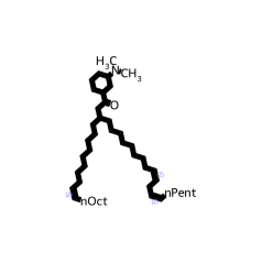 CCCCC/C=C\C/C=C\CCCCCCCCC(CCCCCCCC/C=C\CCCCCCCC)CC(=O)C1CCCC(N(C)C)C1